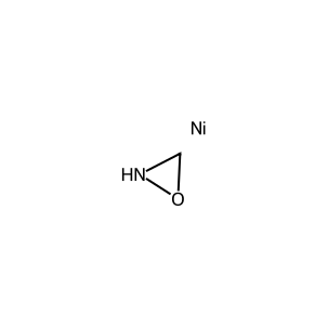 C1NO1.[Ni]